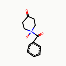 O=C1CC[N+]([O-])(C(=O)c2ccccc2)CC1